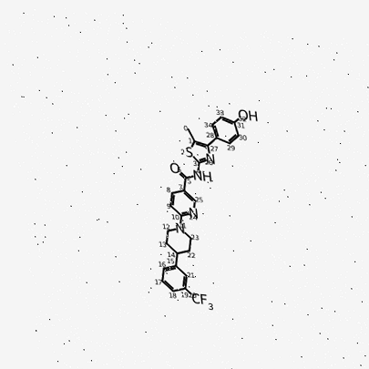 Cc1sc(NC(=O)c2ccc(N3CCC(c4cccc(C(F)(F)F)c4)CC3)nc2)nc1-c1ccc(O)cc1